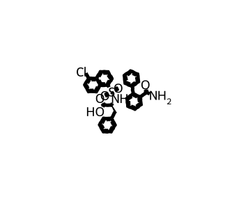 NC(=O)c1ccccc1-c1ccccc1.O=C(O)[C@H](Cc1ccccc1)NS(=O)(=O)c1cccc2c(Cl)cccc12